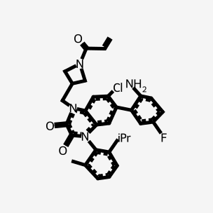 C=CC(=O)N1CC(Cn2c(=O)c(=O)n(-c3c(C)cccc3C(C)C)c3cc(-c4cc(F)ccc4N)c(Cl)cc32)C1